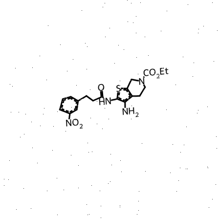 CCOC(=O)N1CCc2c(sc(NC(=O)CCc3cccc([N+](=O)[O-])c3)c2N)C1